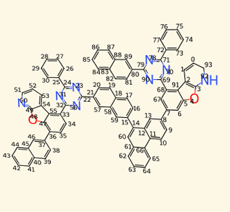 C1=Cc2c(oc3cc(-c4ccc5c(c4)c(-c4ccc6ccc(-c7nc(-c8ccccc8)nc(-c8ccc(-c9ccc%10ccccc%10c9)c9oc%10ncccc%10c89)n7)cc6c4)cc4ccccc45)cc(-c4nc(-c5ccccc5)nc(-c5ccc6ccccc6c5)n4)c23)NC1